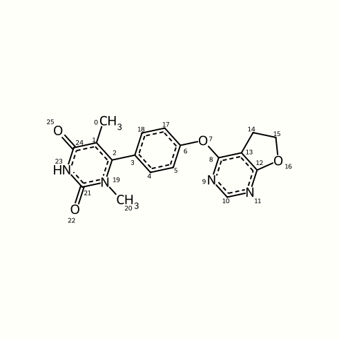 Cc1c(-c2ccc(Oc3ncnc4c3CCO4)cc2)n(C)c(=O)[nH]c1=O